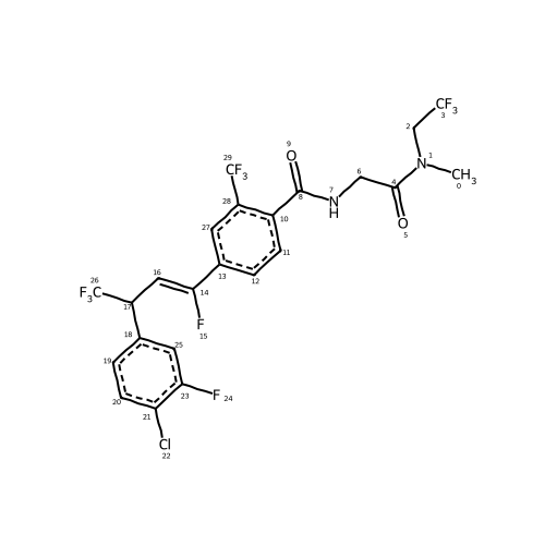 CN(CC(F)(F)F)C(=O)CNC(=O)c1ccc(C(F)=CC(c2ccc(Cl)c(F)c2)C(F)(F)F)cc1C(F)(F)F